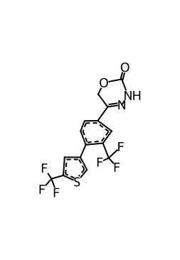 O=C1NN=C(c2ccc(-c3csc(C(F)(F)F)c3)c(C(F)(F)F)c2)CO1